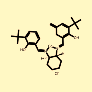 C=C1C=C(C(C)(C)C)C(O)=C(C=[N+]2[Co][N+](=Cc3cccc(C(C)(C)C)c3O)[C@@H]3CCCC[C@H]32)C1.[Cl-]